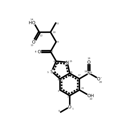 COc1cc2sc(C(=O)CC(C)C(=O)O)nc2c([N+](=O)[O-])c1O